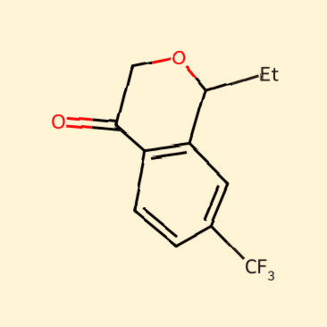 CCC1OCC(=O)c2ccc(C(F)(F)F)cc21